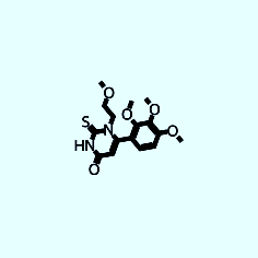 COCCn1c(-c2ccc(OC)c(OC)c2OC)cc(=O)[nH]c1=S